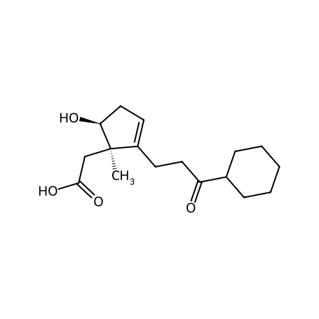 C[C@@]1(CC(=O)O)C(CCC(=O)C2CCCCC2)=CC[C@@H]1O